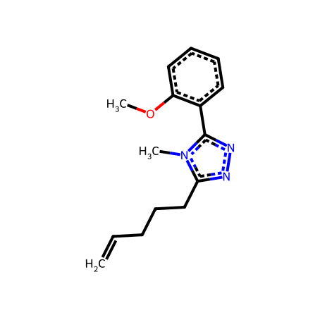 C=CCCCc1nnc(-c2ccccc2OC)n1C